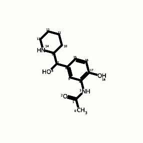 CC(=O)Nc1cc(C(O)C2CCCCN2)ccc1O